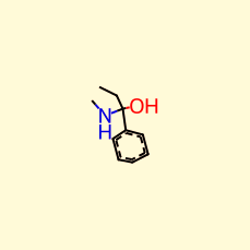 CCC(O)(NC)c1ccccc1